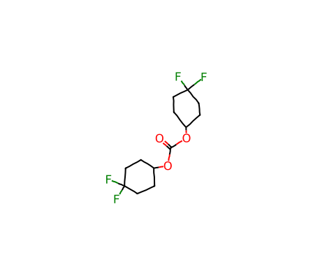 O=C(OC1CCC(F)(F)CC1)OC1CCC(F)(F)CC1